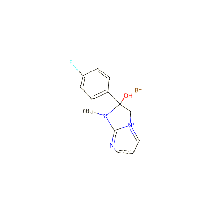 CCCCN1c2nccc[n+]2CC1(O)c1ccc(F)cc1.[Br-]